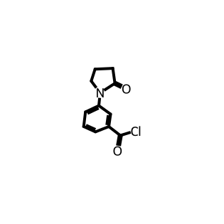 O=C(Cl)c1cccc(N2CCCC2=O)c1